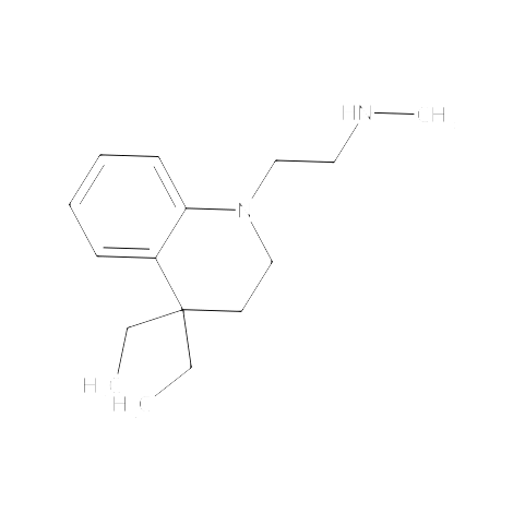 CCC1(CC)CCN(CCNC)c2ccccc21